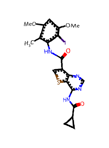 COc1cc(OC)c(I)c(NC(=O)c2csc3c(NC(=O)C4CC4)ncnc23)c1C